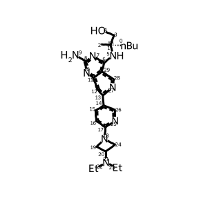 CCCC[C@](C)(CO)Nc1nc(N)nc2cc(-c3ccc(N4CC(N(CC)CC)C4)nc3)ncc12